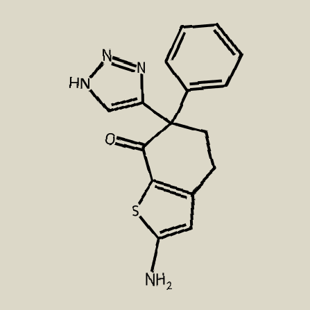 Nc1cc2c(s1)C(=O)C(c1ccccc1)(c1c[nH]nn1)CC2